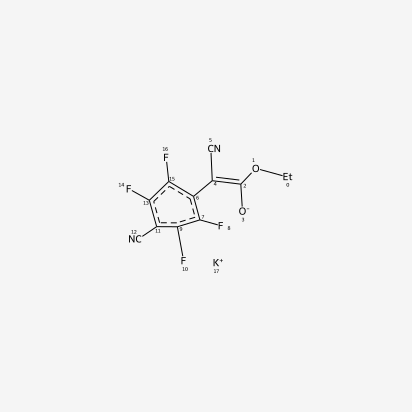 CCO/C([O-])=C(\C#N)c1c(F)c(F)c(C#N)c(F)c1F.[K+]